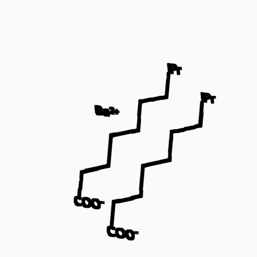 CC(C)CCCCCCC(=O)[O-].CC(C)CCCCCCC(=O)[O-].[Ba+2]